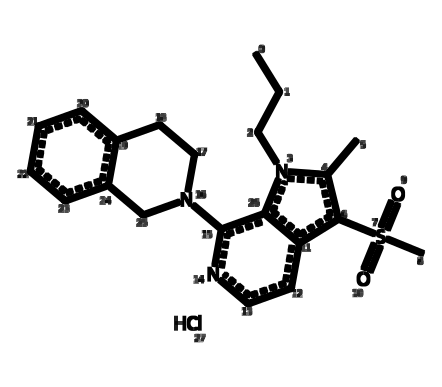 CCCn1c(C)c(S(C)(=O)=O)c2ccnc(N3CCc4ccccc4C3)c21.Cl